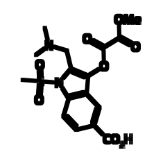 COC(=O)C(=O)Oc1c(CN(C)C)n(S(C)(=O)=O)c2ccc(C(=O)O)cc12